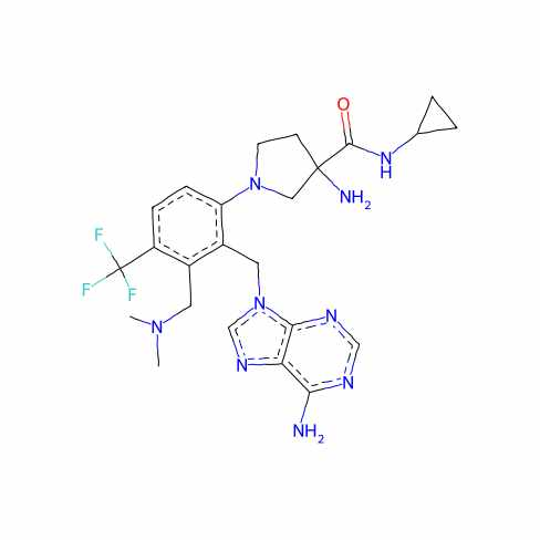 CN(C)Cc1c(C(F)(F)F)ccc(N2CCC(N)(C(=O)NC3CC3)C2)c1Cn1cnc2c(N)ncnc21